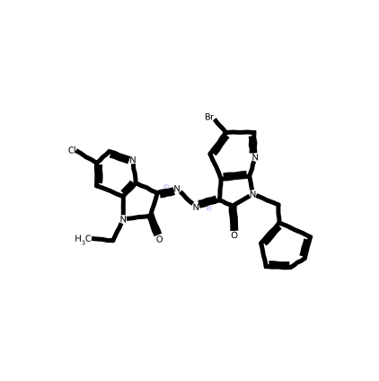 CCN1C(=O)/C(=N\N=C2\C(=O)N(Cc3ccccc3)c3ncc(Br)cc32)c2ncc(Cl)cc21